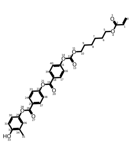 C=CC(=O)OCCCCCCOC(=O)Oc1ccc(C(=O)Oc2ccc(C(=O)Oc3ccc(O)c(C)c3)cc2)cc1